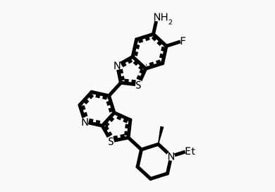 CCN1CCCC(c2cc3c(-c4nc5cc(N)c(F)cc5s4)ccnc3s2)[C@H]1C